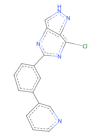 Clc1nc(-c2cccc(-c3cccnc3)c2)nc2c[nH]nc12